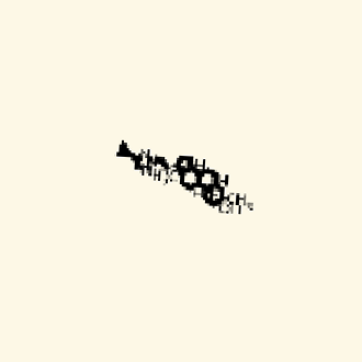 C[C@@]1(O)CC[C@@]2(F)[C@H](CC[C@H]3[C@@H]4CC[C@H](C(=O)Cn5ncc(C6CC6)n5)[C@@]4(C)CC[C@@H]32)C1